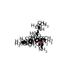 CN(C(=O)CC(C)(C)C)[C@@H]1[C@@H](O)[C@@H](O[C@@H]2[C@@H](O)[C@H](O[C@H]3OC(CN)=CC[C@H]3N)[C@@H](NC(=O)OC(C)(C)C)C[C@H]2NC(=O)[C@@H](O)CCNC(=O)OC(C)(C)C)OC[C@]1(C)O